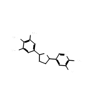 COc1cc(C2CCC(c3cc(OC)c(OC)c(OC)c3)S2)cnc1OC